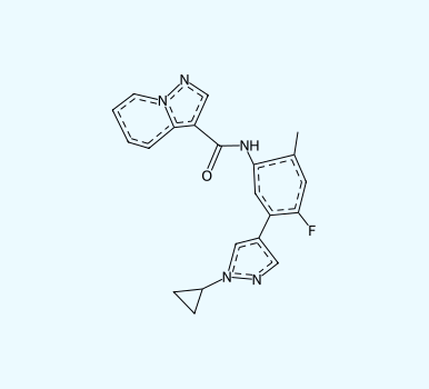 Cc1cc(F)c(-c2cnn(C3CC3)c2)cc1NC(=O)c1cnn2ccccc12